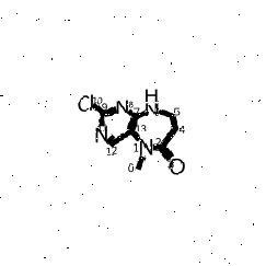 CN1C(=O)CCNc2nc(Cl)ncc21